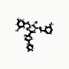 CCc1cccc(CNC[C@@H](O)[C@H](Cc2cc(F)cc(F)c2)NC(=O)c2ccc(-c3ccsc3)s2)c1